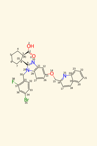 O=C(O)[C@@H]1CCCC[C@@H]1c1nc2cc(OCc3ccc4ccccc4n3)ccc2n1Cc1ccc(Br)cc1F